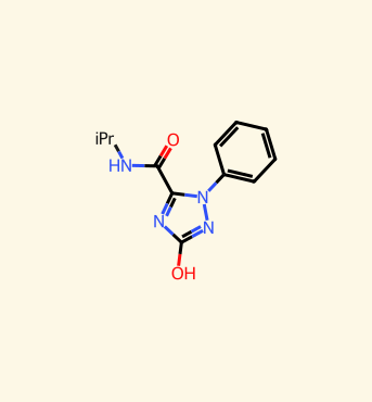 CC(C)NC(=O)c1nc(O)nn1-c1ccccc1